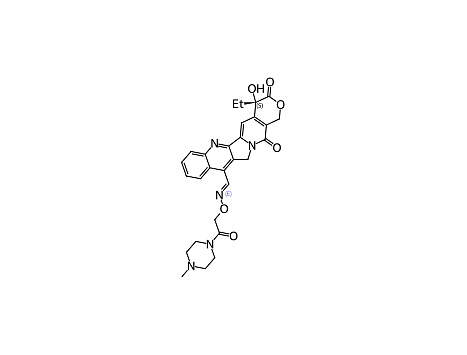 CC[C@@]1(O)C(=O)OCc2c1cc1n(c2=O)Cc2c-1nc1ccccc1c2/C=N/OCC(=O)N1CCN(C)CC1